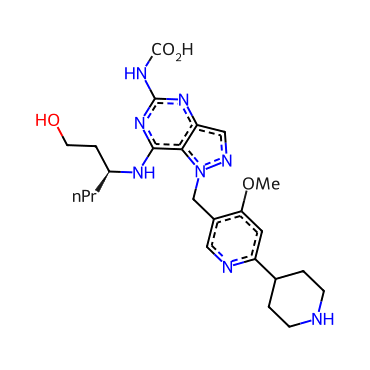 CCC[C@@H](CCO)Nc1nc(NC(=O)O)nc2cnn(Cc3cnc(C4CCNCC4)cc3OC)c12